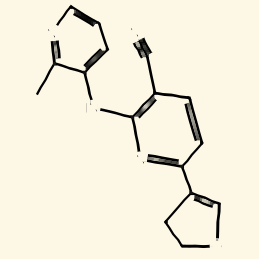 Cc1ncccc1Nc1nc(C2=COCC2)ccc1C#N